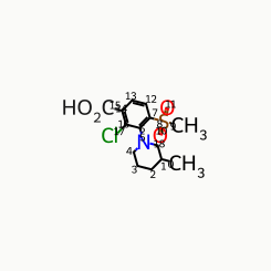 CC1CCCN(c2c(S(C)(=O)=O)ccc(C(=O)O)c2Cl)C1